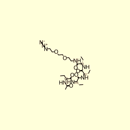 CC[C@H](NC(C)=O)C(=O)N[C@@H](CC)C(=O)N[C@@H](CC)C(=O)N[C@@H](CC)C(=O)NCCOCCOCCN=[N+]=[N-]